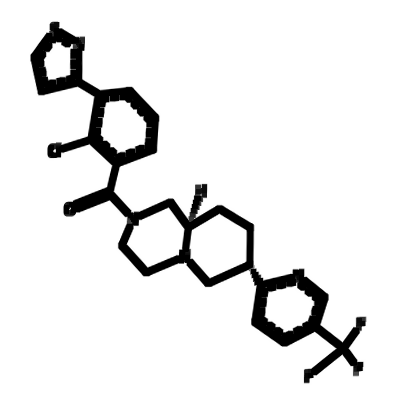 O=C(c1cccc(-c2ccsn2)c1Cl)N1CCN2C[C@@H](c3ccc(C(F)(F)F)cn3)CC[C@@H]2C1